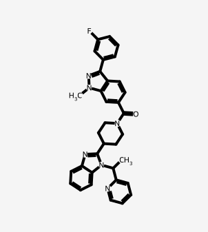 CC(c1ccccn1)n1c(C2CCN(C(=O)c3ccc4c(-c5cccc(F)c5)nn(C)c4c3)CC2)nc2ccccc21